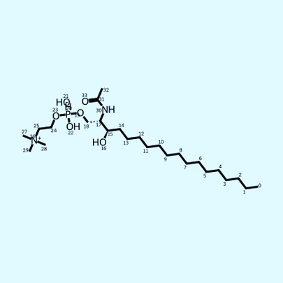 CCCCCCCCCCCCCCC[C@@H](O)[C@H](CO[PH](O)(O)OCC[N+](C)(C)C)NC(C)=O